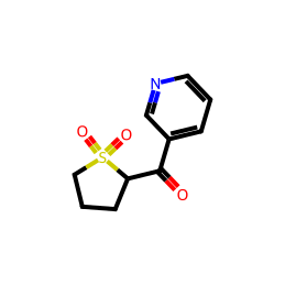 O=C(c1cccnc1)C1CCCS1(=O)=O